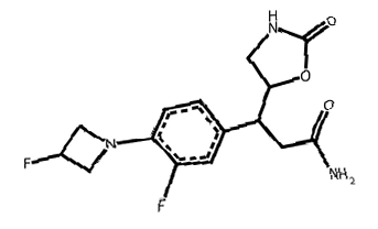 NC(=O)CC(c1ccc(N2CC(F)C2)c(F)c1)C1CNC(=O)O1